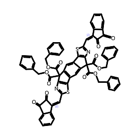 O=C1C(=O)c2ccccc2/C1=C/c1nc2c(s1)-c1cc3c(cc1C2(C(=O)OCc1ccccc1)C(=O)OCc1ccccc1)-c1sc(/C=C2\C(=O)C(=O)c4ccccc42)nc1C3(C(=O)OCc1ccccc1)C(=O)OCc1ccccc1